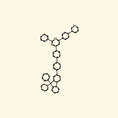 c1ccc(-c2nc(-c3ccc(-c4ccc(-c5ccc6c(c5)C(c5ccccc5)(c5ccccc5)c5ccccc5-6)cc4)cc3)cc(-c3ccc(-c4cccnc4)cc3)n2)cc1